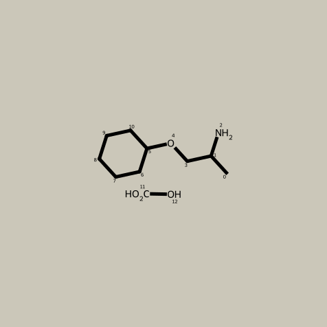 CC(N)COC1CCCCC1.O=C(O)O